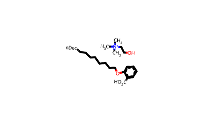 CCCCCCCCCCCCCCCCCCOc1ccccc1C(=O)O.C[N+](C)(C)CCO